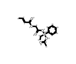 CC=CC(=O)OCC(=O)O[Si](CC)(OC(C)=O)c1ccccc1